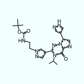 CC(C)n1c(-c2cnn(CCNC(=O)OC(C)(C)C)c2)nn2c(-c3cn[nH]c3)cnc2c1=O